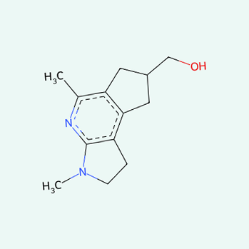 Cc1nc2c(c3c1CC(CO)C3)CCN2C